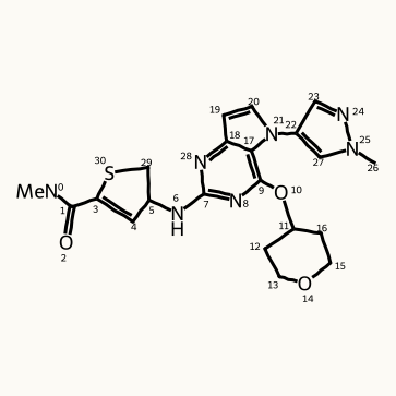 CNC(=O)C1=CC(Nc2nc(OC3CCOCC3)c3c(ccn3-c3cnn(C)c3)n2)CS1